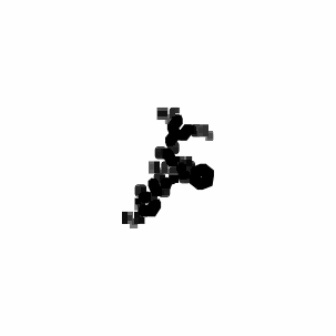 CCCC(CCC)COC(=O)C(C)NP(=O)(OC[C@H]1OC[C@@H](n2ccc(N)nc2=O)O1)Oc1ccccc1